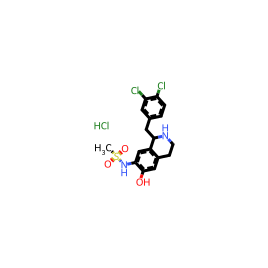 CS(=O)(=O)Nc1cc2c(cc1O)CCNC2Cc1ccc(Cl)c(Cl)c1.Cl